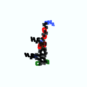 CCN(CCOCCOCCN)S(=O)(=O)c1cccc([C@@H]2CN(C)Cc3c(Cl)cc(Cl)cc32)c1